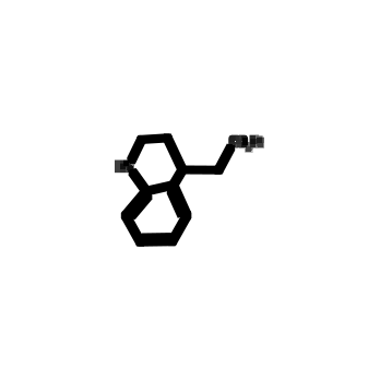 CCOC(=O)CC1CCNc2ccccc21